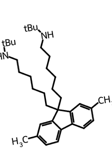 Cc1ccc2c(c1)C(CCCCCCNC(C)(C)C)(CCCCCCNC(C)(C)C)c1cc(C)ccc1-2